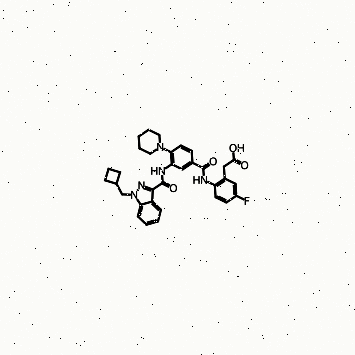 O=C(O)Cc1cc(F)ccc1NC(=O)c1ccc(N2CCCCC2)c(NC(=O)c2nn(CC3CCC3)c3ccccc23)c1